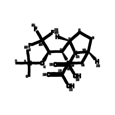 C[Si](C)(C)O[C@H]([C@@H]1[C@H]2CC[C@@H](CN1C(=O)O)N2C(=O)O)C(F)(F)F